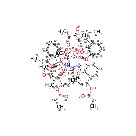 C=CC(=O)O/C(=C/C)c1ccccc1OP1(Oc2ccccc2/C(=C\C)OC(=O)C=C)=NP(Oc2ccccc2/C(=C\C)OC(=O)C=C)(Oc2ccccc2/C(=C\C)OC(=O)C=C)=NP(Oc2ccccc2/C(=C\C)OC(=O)C=C)(Oc2ccccc2/C(=C\C)OC(=O)C=C)=N1